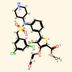 COC(=O)c1sc(-c2cccc(N(C3CCNCC3)S(=O)(=O)Cc3cc(Cl)cc(Cl)c3)c2)c(Br)c1OC=C=O